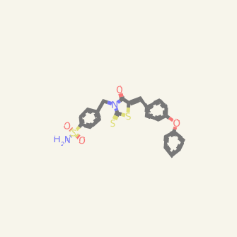 NS(=O)(=O)c1ccc(CN2C(=O)/C(=C/c3ccc(Oc4ccccc4)cc3)SC2=S)cc1